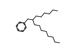 CCCCCCCCC(CCCCCC)Cc1[c]cccc1